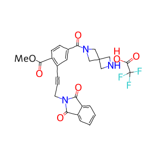 COC(=O)c1ccc(C(=O)N2CC3(CNC3)C2)cc1C#CCN1C(=O)c2ccccc2C1=O.O=C(O)C(F)(F)F